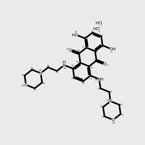 Cl.Cl.O=C1c2c(O)ccc(O)c2C(=O)c2c(NCCN3CCOCC3)ccc(NCCN3CCOCC3)c21